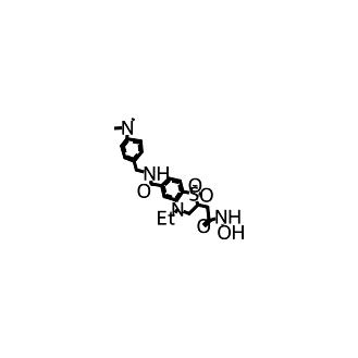 CCN1CC(CC(=O)NO)S(=O)(=O)c2ccc(C(=O)NCc3ccc(N(C)C)cc3)cc21